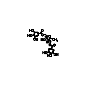 CC1O[C@H](COC(=O)c2cc(O)c(O)c(O)c2)[C@@H](O)[C@]1(O)COC(=O)c1cc(O)c(O)c(O)c1